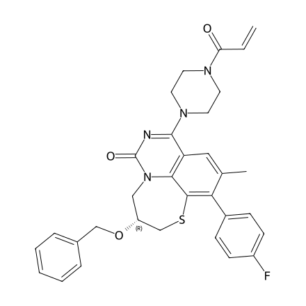 C=CC(=O)N1CCN(c2nc(=O)n3c4c(c(-c5ccc(F)cc5)c(C)cc24)SC[C@H](OCc2ccccc2)C3)CC1